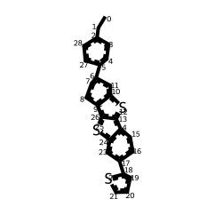 CCc1ccc(-c2ccc3c(c2)sc2c4ccc(-c5cccs5)cc4sc32)cc1